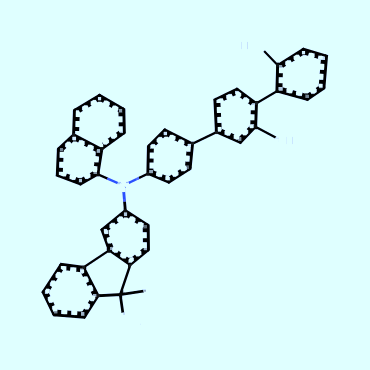 Cc1ccccc1-c1ccc(-c2ccc(N(c3ccc4c(c3)-c3ccccc3C4(C)C)c3cccc4ccccc34)cc2)cc1C